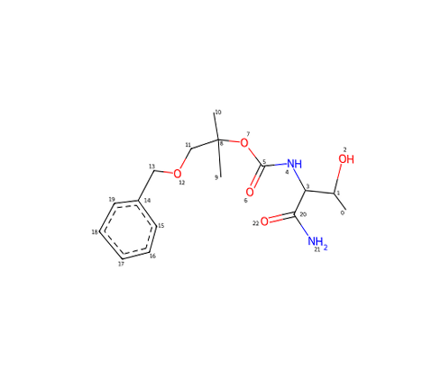 CC(O)C(NC(=O)OC(C)(C)COCc1ccccc1)C(N)=O